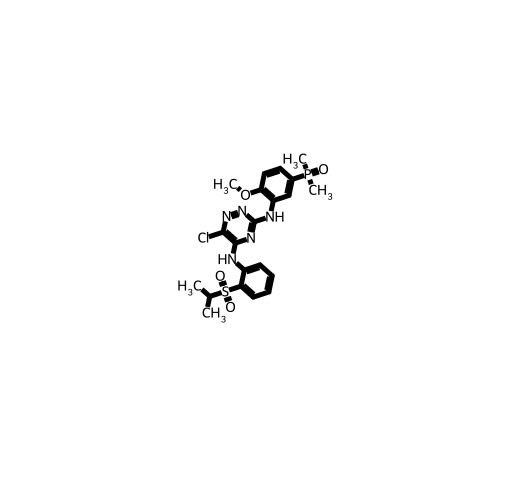 COc1ccc(P(C)(C)=O)cc1Nc1nnc(Cl)c(Nc2ccccc2S(=O)(=O)C(C)C)n1